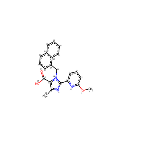 COc1cccc(-c2nc(C)c(C(=O)O)n2Cc2cccc3ccccc23)n1